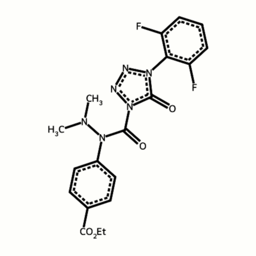 CCOC(=O)c1ccc(N(C(=O)n2nnn(-c3c(F)cccc3F)c2=O)N(C)C)cc1